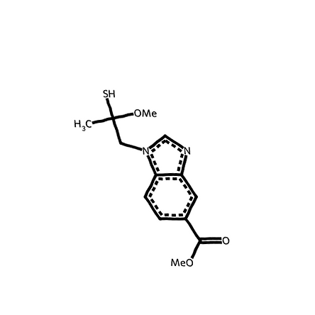 COC(=O)c1ccc2c(c1)ncn2CC(C)(S)OC